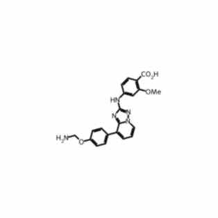 COc1cc(Nc2nc3c(-c4ccc(OCN)cc4)cccn3n2)ccc1C(=O)O